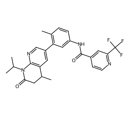 Cc1ccc(NC(=O)c2ccnc(C(F)(F)F)c2)cc1-c1cnc2c(c1)C(C)CC(=O)N2C(C)C